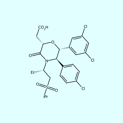 CC[C@@H](CS(=O)(=O)C(C)C)N1C(=O)[C@H](CC(=O)O)O[C@H](c2cc(Cl)cc(Cl)c2)[C@H]1c1ccc(Cl)cc1